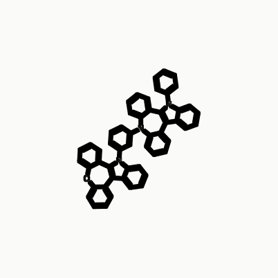 c1ccc(-n2c3c(c4ccccc42)-c2ccccc2N(c2cccc(-n4c5c(c6ccccc64)-c4ccccc4Oc4ccccc4-5)c2)c2ccccc2-3)cc1